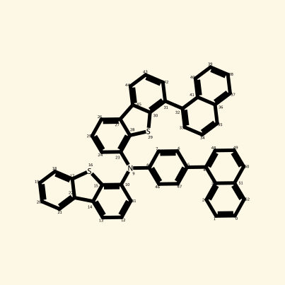 c1ccc2c(-c3ccc(N(c4cccc5c4sc4ccccc45)c4cccc5c4sc4c(-c6cccc7ccccc67)cccc45)cc3)cccc2c1